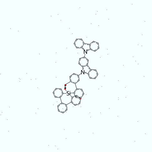 c1ccc2c(c1)-c1ccccc1[Si]1(c3ccccc3-2)c2ccccc2-c2ccc(-n3c4ccccc4c4cc(-n5c6ccccc6c6ccccc65)ccc43)cc2-c2ccccc21